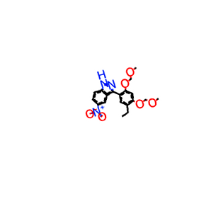 CCc1cc(-c2n[nH]c3ccc([N+](=O)[O-])cc23)c(OCOC)cc1OCOC